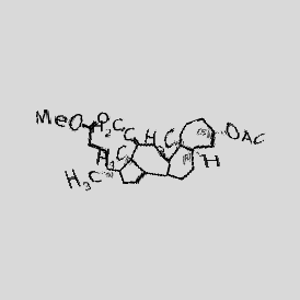 C=C=C1CC2C(CC[C@@H]3C[C@@H](OC(C)=O)CC[C@]23C)C2CCC([C@H](C)CCC(=O)OC)[C@@]12C